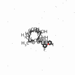 C[C@H]1C[C@H]2C(=O)O[C@@H](C)[C@H](NC(=O)[C@H](Cc3cc(F)cc(F)c3)NC(=O)Nc3ccc(I)cc3)C(=O)N3C[C@H](O)C[C@H]3C(=O)N(C)[C@@H](C)C(=O)N[C@@H](C)C(=O)N2C1